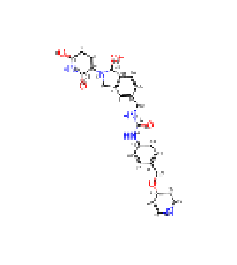 O=C1CCC(N2Cc3cc(CNC(=O)Nc4ccc(COc5ccncc5)cc4)ccc3C2O)C(=O)N1